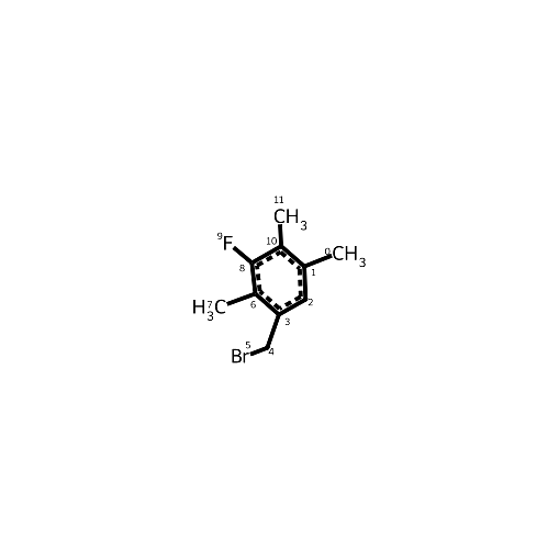 Cc1cc(CBr)c(C)c(F)c1C